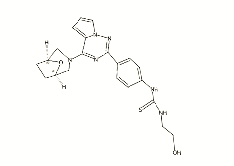 OCCNC(=S)Nc1ccc(-c2nc(N3C[C@H]4CC[C@@H](C3)O4)c3cccn3n2)cc1